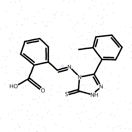 Cc1ccccc1-c1n[nH]c(=S)n1/N=C/c1ccccc1C(=O)O